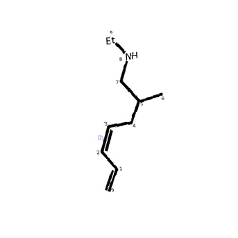 C=C/C=C\CC(C)CNCC